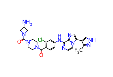 NC1CN(C(=O)N2CCN(C(=O)c3ccc(Nc4nccn5c(-c6c[nH]nc6C(F)(F)F)cnc45)cc3Cl)CC2)C1